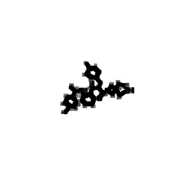 Cc1ccc(CC(Nc2ccccc2NC(C)c2ccc(C)cc2)C(=O)N2CC(CO)(CCl)C2)cc1